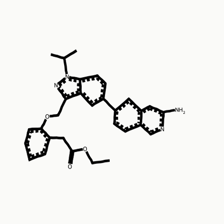 CCOC(=O)Cc1ccccc1OCc1nn(C(C)C)c2ccc(-c3ccc4cnc(N)cc4c3)cc12